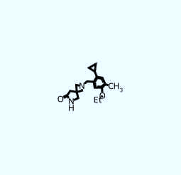 CCOc1cc(CN2CC3(CNC(=O)C3)C2)c(C2CC2)cc1C